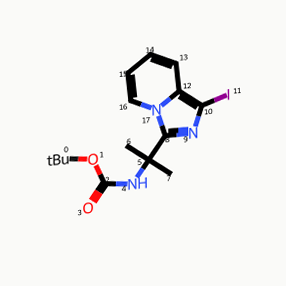 CC(C)(C)OC(=O)NC(C)(C)c1nc(I)c2ccccn12